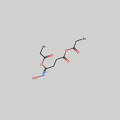 CC(=O)CC(=O)OC(=O)CC/C(=N/O)OC(=O)CC(C)=O